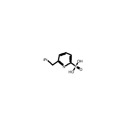 CC(C)Cc1cccc(P(=O)(O)O)n1